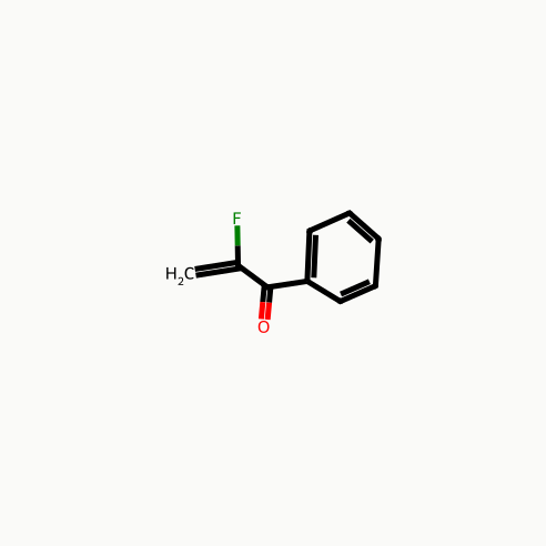 C=C(F)C(=O)c1ccccc1